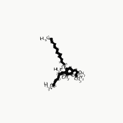 CCCCCCCCCCCCOc1cc2c(cc1C(C)(C)CCCCC)OC(C)(C)C(C)C2